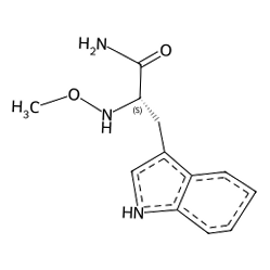 CON[C@@H](Cc1c[nH]c2ccccc12)C(N)=O